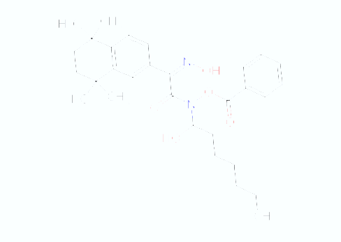 CCCCCCC(O)N(OC(=O)c1ccccc1)C(=O)C(=NO)c1ccc2c(c1)C(C)(C)CCC2(C)C